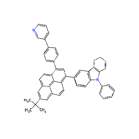 CC(C)(C)c1cc2ccc3c(-c4ccc(-c5cccnc5)cc4)cc(-c4ccc5c(c4)c4c(n5-c5ccccc5)C=CCC4)c4ccc(c1)c2c34